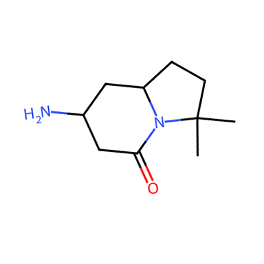 CC1(C)CCC2CC(N)CC(=O)N21